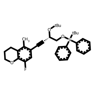 Cc1c(C#C[C@@H](CO[Si](c2ccccc2)(c2ccccc2)C(C)(C)C)OC(C)(C)C)cc(F)c2c1CCCO2